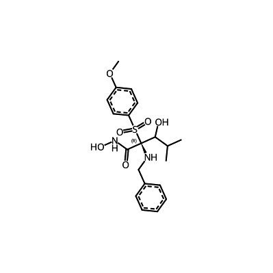 COc1ccc(S(=O)(=O)[C@@](NCc2ccccc2)(C(=O)NO)C(O)C(C)C)cc1